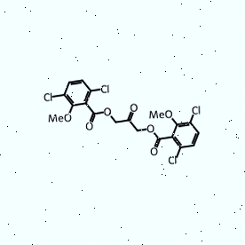 COc1c(Cl)ccc(Cl)c1C(=O)OCC(=O)COC(=O)c1c(Cl)ccc(Cl)c1OC